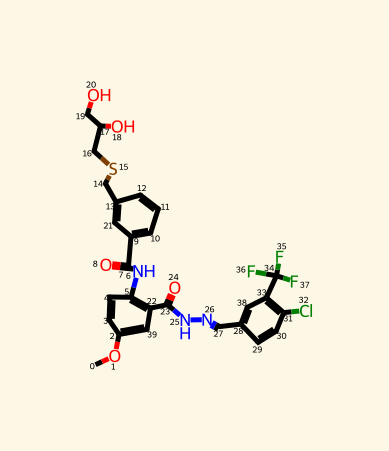 COc1ccc(NC(=O)c2cccc(CSCC(O)CO)c2)c(C(=O)NN=Cc2ccc(Cl)c(C(F)(F)F)c2)c1